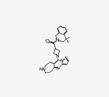 CC1(C)CN(C(=O)C2CN(c3c4c(nc5ccnn35)CCNCC4)C2)Cc2ccccc21